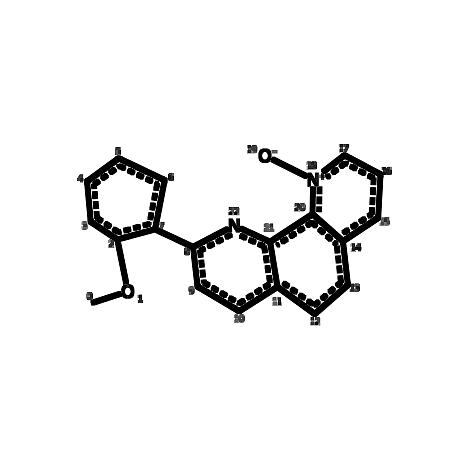 COc1ccccc1-c1ccc2ccc3ccc[n+]([O-])c3c2n1